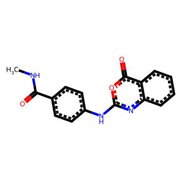 CNC(=O)c1ccc(Nc2nc3ccccc3c(=O)o2)cc1